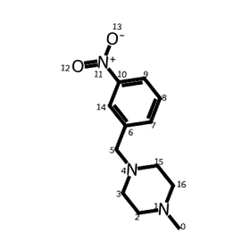 CN1CCN(Cc2cccc([N+](=O)[O-])c2)CC1